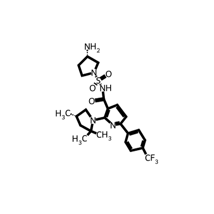 C[C@@H]1CN(c2nc(-c3ccc(C(F)(F)F)cc3)ccc2C(=O)NS(=O)(=O)N2CC[C@H](N)C2)C(C)(C)C1